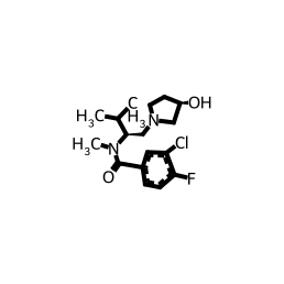 CC(C)[C@@H](CN1CC[C@@H](O)C1)N(C)C(=O)c1ccc(F)c(Cl)c1